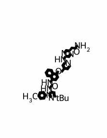 Cc1ccc(-n2nc(C(C)(C)C)cc2NC(=O)Nc2ccc(OCc3ccnc(Nc4cnc(CC(N)=O)cn4)c3)c3ccccc23)cc1